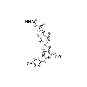 CCCOc1nc(Cc2ccc(Cl)cc2)nc2oc(-c3cc(C)c(OCC(O)CNC(C)=O)c(C)c3)nc12